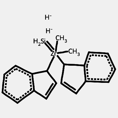 [CH3][Zr]([CH3])(=[SiH2])([CH]1C=Cc2ccccc21)[CH]1C=Cc2ccccc21.[H-].[H-]